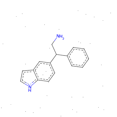 NCC(c1ccccc1)c1ccc2[nH]ccc2c1